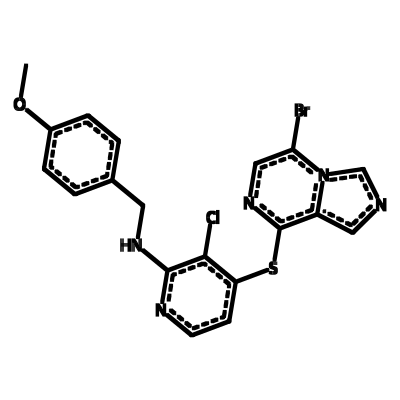 COc1ccc(CNc2nccc(Sc3ncc(Br)n4cncc34)c2Cl)cc1